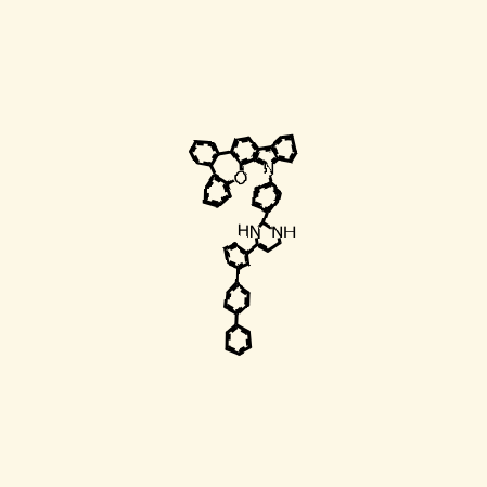 C1=C(c2cccc(-c3ccc(-c4ccccc4)cc3)c2)NC(c2ccc(-n3c4ccccc4c4ccc5c(c43)Oc3ccccc3-c3ccccc3-5)cc2)NC1